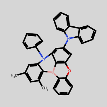 Cc1cc(C)c2c(c1)N(c1ccccc1)c1cc(-n3c4ccccc4c4ccccc43)cc3c1B2c1ccccc1O3